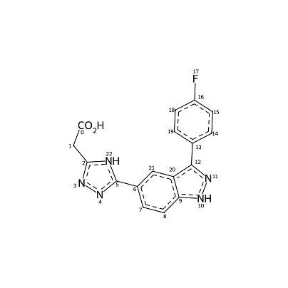 O=C(O)Cc1nnc(-c2ccc3[nH]nc(-c4ccc(F)cc4)c3c2)[nH]1